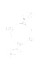 CC(C)(C)OC(=O)N1CCCNCCN(C(=O)OC(C)(C)C)CCCNCC1